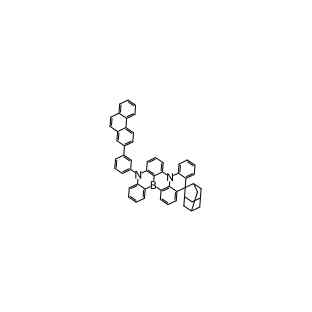 c1cc(-c2ccc3c(ccc4ccccc43)c2)cc(N2c3ccccc3B3c4cccc5c4N(c4ccccc4C54C5CC6CC(C5)CC4C6)c4cccc2c43)c1